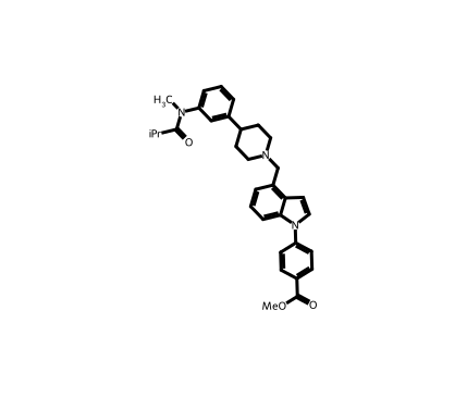 COC(=O)c1ccc(-n2ccc3c(CN4CCC(c5cccc(N(C)C(=O)C(C)C)c5)CC4)cccc32)cc1